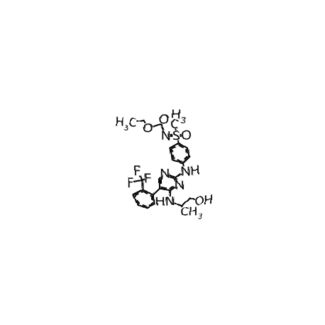 CCOC(=O)N=S(C)(=O)c1ccc(Nc2ncc(-c3ccccc3C(F)(F)F)c(N[C@H](C)CO)n2)cc1